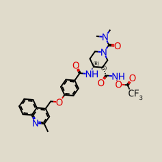 Cc1cc(COc2ccc(C(=O)N[C@@H]3CCN(C(=O)N(C)C)C[C@@H]3C(=O)NOC(=O)C(F)(F)F)cc2)c2ccccc2n1